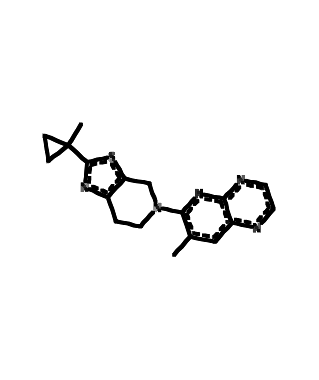 Cc1cc2nccnc2nc1N1CCc2nc(C3(C)CC3)sc2C1